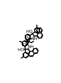 CCC(CC)(C(=O)N[C@@H](c1cccc2ccccc12)C(O)(c1cccc(C)c1)c1cccc(C)c1)C(=O)N[C@@H](c1cccc2ccccc12)C(O)(c1cccc(C)c1)c1cccc(C)c1